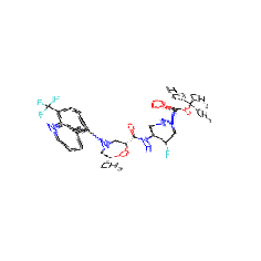 C[C@@H]1CN(c2ccc(C(F)(F)F)c3ncccc23)C[C@H](C(=O)NC2CN(C(=O)OC(C)(C)C)CC2F)O1